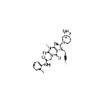 CC#CCn1c(N2CCC[C@@H](N)C2)nc2c1c(=O)n(CC(=O)Nc1ccccc1C)c(=O)n2C